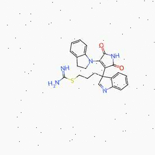 N=C(N)SCCCC1(C2=C(N3CCc4ccccc43)C(=O)NC2=O)C=Nc2ccccc21